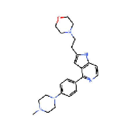 CN1CCN(c2ccc(-c3nccc4[nH]c(CCN5CCOCC5)cc34)cc2)CC1